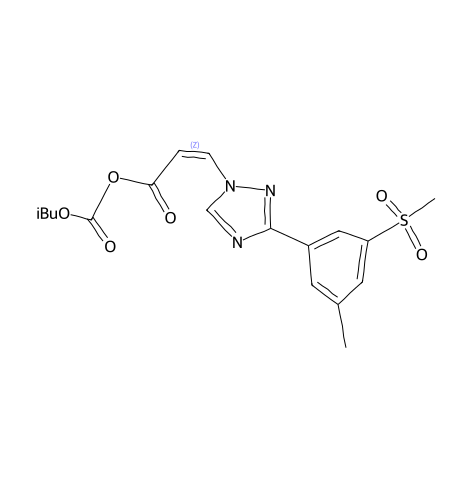 Cc1cc(-c2ncn(/C=C\C(=O)OC(=O)OCC(C)C)n2)cc(S(C)(=O)=O)c1